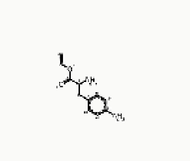 C=COC(=O)C(N)Cc1ccc(N)cc1